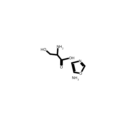 N.NC(CO)C(=O)O.c1cocn1